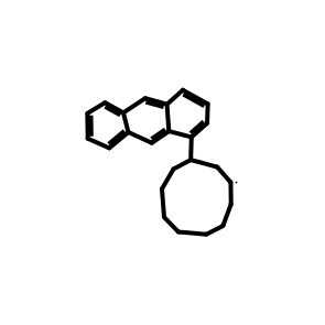 [CH]1CCCCCCCC(c2cccc3cc4ccccc4cc23)C1